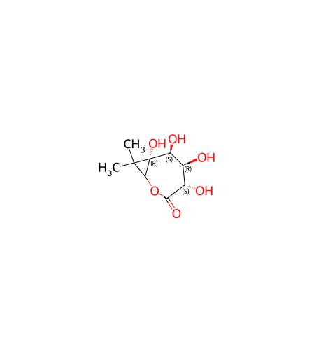 CC1(C)C2OC(=O)[C@@H](O)[C@H](O)[C@H](O)[C@@]21O